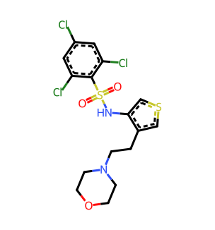 O=S(=O)(Nc1cscc1CCN1CCOCC1)c1c(Cl)cc(Cl)cc1Cl